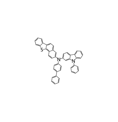 c1ccc(-c2ccc(N(c3ccc4c(ccc5c6ccccc6sc45)c3)c3ccc4c5ccccc5n(-c5ccccc5)c4c3)cc2)cc1